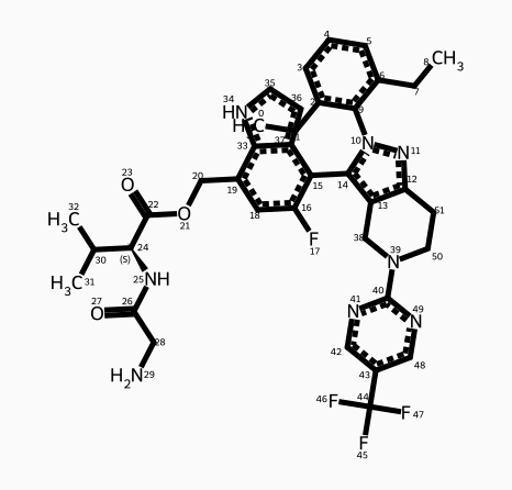 CCc1cccc(CC)c1-n1nc2c(c1-c1c(F)cc(COC(=O)[C@@H](NC(=O)CN)C(C)C)c3[nH]ccc13)CN(c1ncc(C(F)(F)F)cn1)CC2